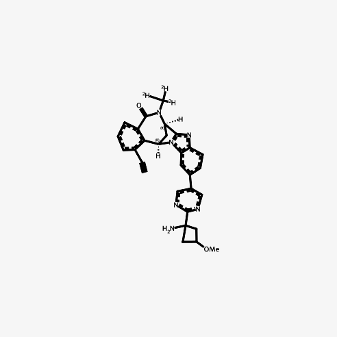 [2H]C([2H])([2H])N1C(=O)c2cccc(C#C)c2[C@H]2C[C@@H]1c1nc3ccc(-c4cnc(C5(N)CC(OC)C5)nc4)cc3n12